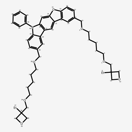 CCC1(COCCCCCOCc2ccc3oc4cc5c(cc4c3c2)c2cc(COCCCCCOCC3(CC)COC3)ccc2n5-c2ccccc2)COC1